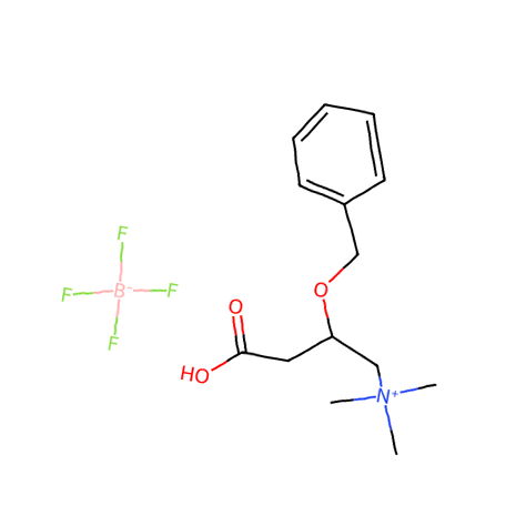 C[N+](C)(C)CC(CC(=O)O)OCc1ccccc1.F[B-](F)(F)F